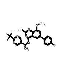 COc1cc(-c2ccc(F)cc2)cc2c(NC(C)c3cnc(C(F)(F)F)nc3)nc(O)nc12